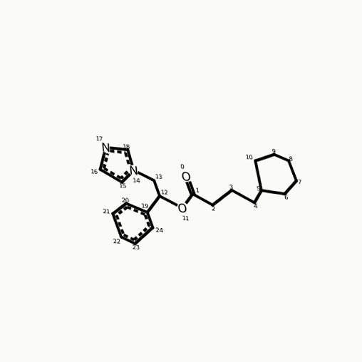 O=C(CCCC1CCCCC1)OC(Cn1ccnc1)c1ccccc1